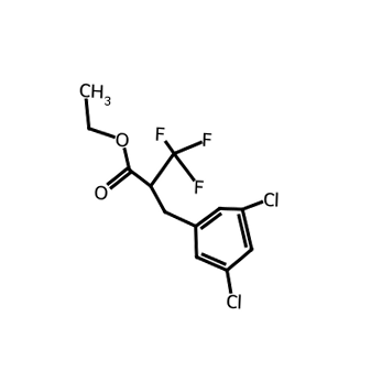 CCOC(=O)C(Cc1cc(Cl)cc(Cl)c1)C(F)(F)F